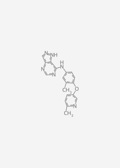 Cc1ccc(Oc2ccc(Nc3ncnc4cn[nH]c34)cc2C)cn1